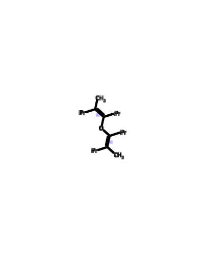 C/C(=C(/O/C(=C(/C)C(C)C)C(C)C)C(C)C)C(C)C